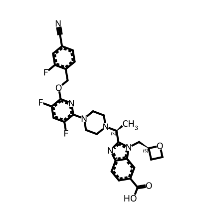 C[C@@H](c1nc2ccc(C(=O)O)cc2n1C[C@@H]1CCO1)N1CCN(c2nc(OCc3ccc(C#N)cc3F)c(F)cc2F)CC1